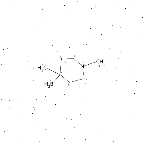 BC1(C)CCN(C)CC1